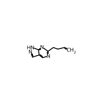 C=CCCc1ncc2cn[nH]c2n1